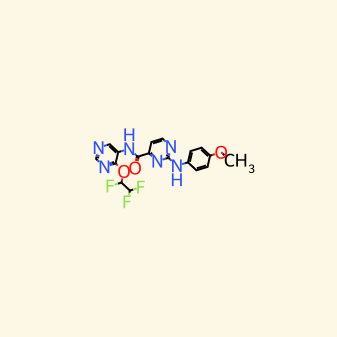 COc1ccc(Nc2nccc(C(=O)Nc3cncnc3OC(F)C(F)F)n2)cc1